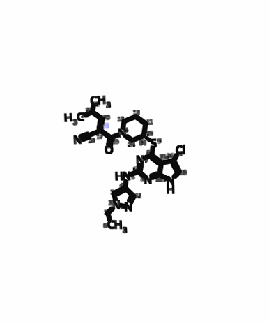 CCn1cc(Nc2nc(S[C@@H]3CCCN(C(=O)/C(C#N)=C/C(C)C)C3)c3c(Cl)c[nH]c3n2)cn1